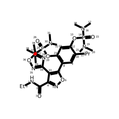 CCNC(=O)c1noc(-c2cc(C(C)C)c(OP(=O)(N(C)C)N(C)C)cc2OP(=O)(N(C)C)N(C)C)c1-c1noc(C)n1